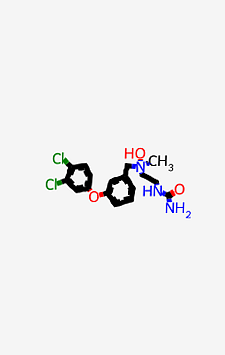 C[N+](O)(CCNC(N)=O)Cc1cccc(Oc2ccc(Cl)c(Cl)c2)c1